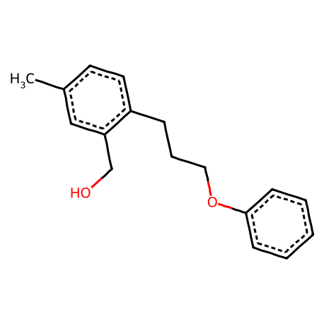 Cc1ccc(CCCOc2ccccc2)c(CO)c1